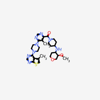 COC1COCCC1NC1CCN(C(=O)c2ncnc(N3CCN(c4ncnc5scc(C)c45)CC3)c2C)CC1